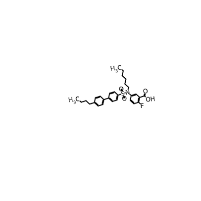 CCCCCCN(c1ccc(F)c(C(=O)O)c1)S(=O)(=O)c1ccc(-c2ccc(CCCC)cc2)cc1